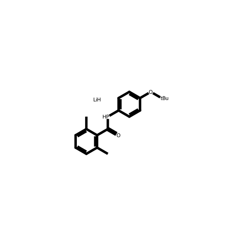 Cc1cccc(C)c1C(=O)Pc1ccc(OC(C)(C)C)cc1.[LiH]